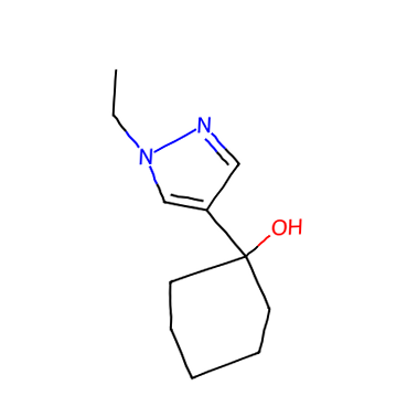 CCn1cc(C2(O)CCCCC2)cn1